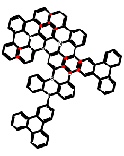 c1ccc(-c2cccc(-c3ccccc3)c2N2c3ccccc3B3c4cc5c(cc4N(c4c(-c6ccccc6)cccc4-c4ccccc4)c4cccc2c43)N(c2ccc3c4ccccc4c4ccccc4c3c2)c2cccc3c2B5c2ccccc2N3c2ccc3c4ccccc4c4ccccc4c3c2)cc1